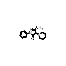 CC1=NN(c2ccccc2)C(=O)C1N1CCCCC1